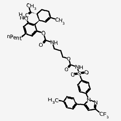 C=C(C)[C@@H]1CCC(C)=C[C@H]1c1c(O)cc(CCCCC)cc1OC(=O)NCCCOC(=O)NS(=O)(=O)c1ccc(-n2nc(C(F)(F)F)cc2-c2ccc(C)cc2)cc1